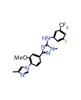 COc1cc(-c2nc(Nc3cc(F)cc(C(F)(F)F)c3)n(C)n2)ccc1-n1cnc(C)c1